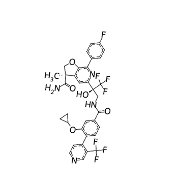 C[C@]1(C(N)=O)COc2c1cc([C@@](O)(CNC(=O)c1ccc(-c3ccncc3C(F)(F)F)c(OC3CC3)c1)C(F)(F)F)nc2-c1ccc(F)cc1